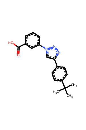 CC(C)(C)c1ccc(-c2cn(-c3cccc(C(=O)O)c3)nn2)cc1